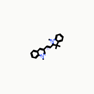 C[N+]1=C(/C=C/c2cc3ccccc3[n+](C)c2)C(C)(C)c2ccccc21